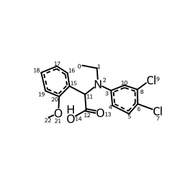 CCN(c1ccc(Cl)c(Cl)c1)C(C(=O)O)c1ccccc1OC